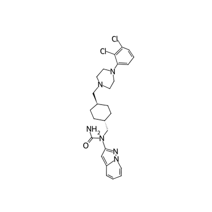 NC(=O)N(C[C@H]1CC[C@H](CN2CCN(c3cccc(Cl)c3Cl)CC2)CC1)c1cc2ccccn2n1